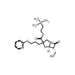 C[Si](C)(C)CCOC(=O)C1(CCCSc2ccccn2)CN2C(=O)[C@H](CO)[C@H]2S1